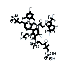 C[C@@H]1c2c(C(F)(F)F)nn(CC(=O)N[C@@H](Cc3cc(F)cc(F)c3)c3nc(CCC(C)(C)S(C)(=O)=O)ccc3-c3ccc(Cl)c4c(N(CCC(=O)C(C)(C)COP(=O)(O)O)S(C)(=O)=O)nn(CC(F)(F)F)c34)c2C(F)(F)[C@@H]1C